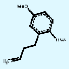 C=CCCc1cc(OC)ccc1OC